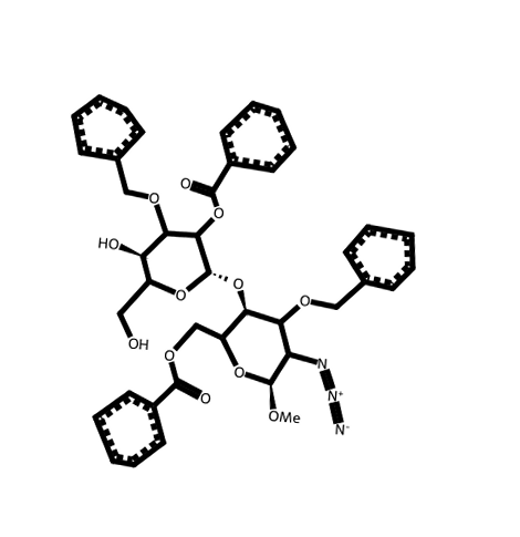 CO[C@H]1OC(COC(=O)c2ccccc2)[C@@H](O[C@@H]2OC(CO)[C@@H](O)C(OCc3ccccc3)C2OC(=O)c2ccccc2)C(OCc2ccccc2)C1N=[N+]=[N-]